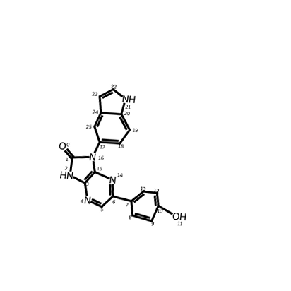 O=c1[nH]c2ncc(-c3ccc(O)cc3)nc2n1-c1ccc2[nH]ccc2c1